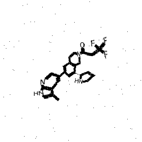 Cc1c[nH]c2ncc(-c3cc4c(c([C@@H]5CCCN5)c3)CN(C(=O)CC(F)(F)F)CC4)cc12